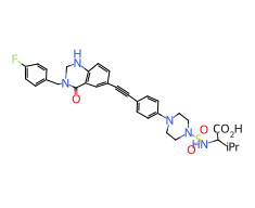 CC(C)C(NS(=O)(=O)N1CCN(c2ccc(C#Cc3ccc4c(c3)C(=O)N(Cc3ccc(F)cc3)CN4)cc2)CC1)C(=O)O